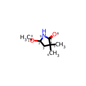 COC1CC(C)(C)C(=O)N1